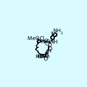 COc1cc2cc(c1Cl)N(C)C(=O)C[C@H](OC(=O)Nc1ccc3nc(N)ccc3c1)[C@]1(C)O[C@H]1C[C@@H]1C[C@@](O)(NC(=O)O1)[C@H](OC)/C=C/C=C(\C)C2